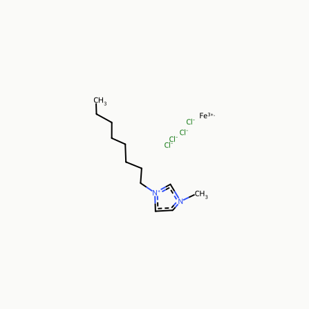 CCCCCCCC[n+]1ccn(C)c1.[Cl-].[Cl-].[Cl-].[Cl-].[Fe+3]